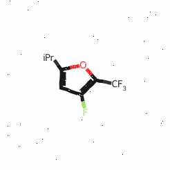 CC(C)c1cc(F)c(C(F)(F)F)o1